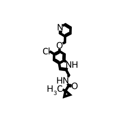 CC1(C(=O)NCc2cc3cc(Cl)c(OCc4cccnc4)cc3[nH]2)CC1